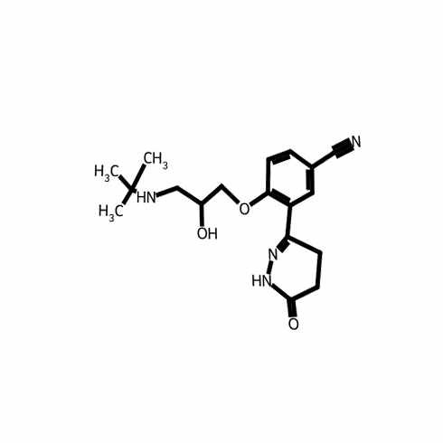 CC(C)(C)NCC(O)COc1ccc(C#N)cc1C1=NNC(=O)CC1